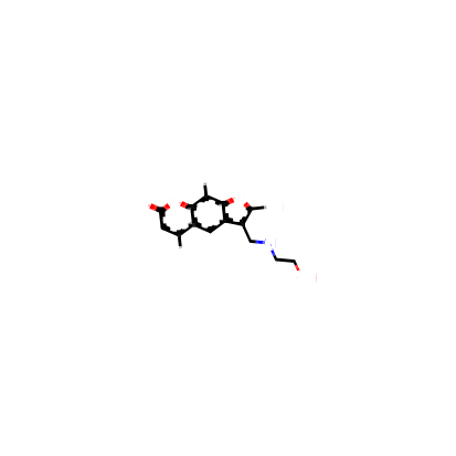 Cc1oc2c(C)c3oc(=O)cc(C)c3cc2c1CNCCO